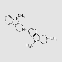 CN1CCc2c(c3ccc(N4CCc5c(n(C)c6ccccc56)C4)cc3n2C)C1